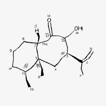 C=C(C)[C@H]1C[C@@]2(C)[C@H](CCC[C@@H]2C)C(=O)C1O